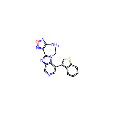 CCn1c(-c2nonc2N)nc2cncc(-c3csc4ccccc34)c21